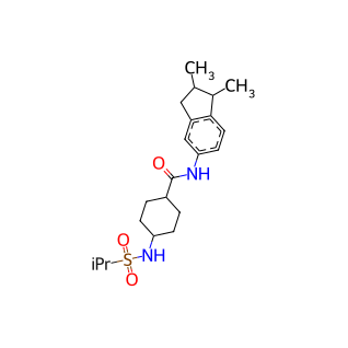 CC1Cc2cc(NC(=O)C3CCC(NS(=O)(=O)C(C)C)CC3)ccc2C1C